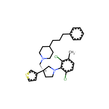 [CH2]c1ccc(Cl)c(N2CC[C@@](CN3CCC(CCCc4ccccc4)CC3)(c3ccsc3)C2)c1Cl